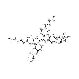 CCCCCCC1CCC(CC(c2ccc(OC(F)C(F)(F)F)cc2)C(Cc2ccc(OC(F)C(F)(F)F)cc2)C2CCC(CCCCC)CC2)CC1